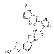 Cc1ccc(Br)cc1NC(=O)c1nc[nH]c1C(=O)Nc1nc2cc(OC(C)C(=O)O)ccc2[nH]1